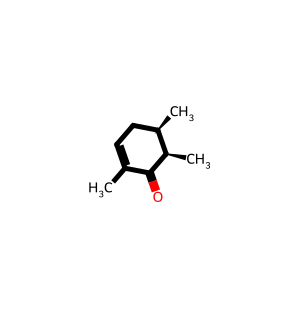 CC1=CC[C@@H](C)[C@@H](C)C1=O